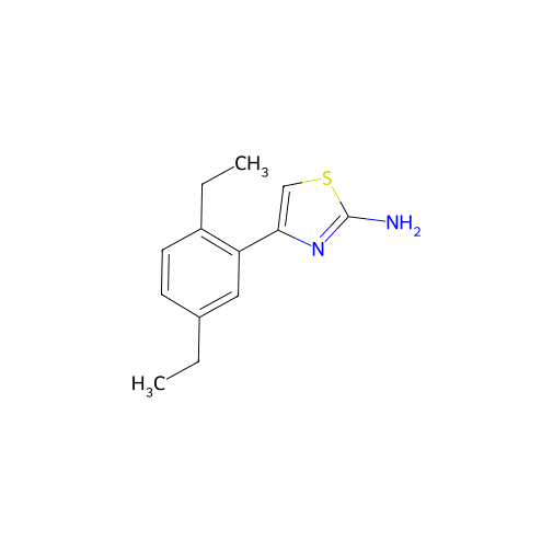 CCc1ccc(CC)c(-c2csc(N)n2)c1